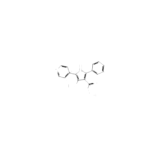 COC(=O)c1c(-c2ccccc2)[nH]c(-c2ccncc2)c1C